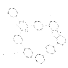 c1ccc(-c2ccc(-c3cccc4c3oc3c(-c5ccc(-c6nc(-c7ccccc7)nc(-c7cccc(-c8ccccc8)c7)n6)cc5)cccc34)cc2)cc1